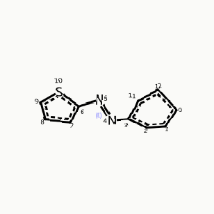 c1ccc(/N=N/c2cccs2)cc1